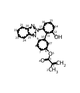 C=C(C)C(=O)Oc1cccc(-c2c(O)cccc2-n2nc3ccccc3n2)c1